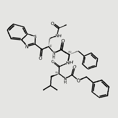 CC(=O)NC[C@H](NC(=O)[C@H](Cc1ccccc1)NC(=O)[C@H](CC(C)C)NC(=O)OCc1ccccc1)C(=O)c1nc2ccccc2s1